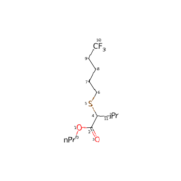 CCCOC(=O)C(SCCCCC(F)(F)F)C(C)C